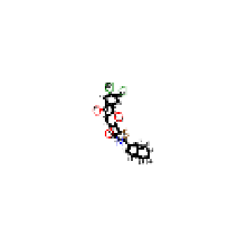 O=C1C(=Cc2cc3sc(-c4ccc5ccccc5c4)nc3o2)C(=O)c2cc(Cl)c(Cl)cc21